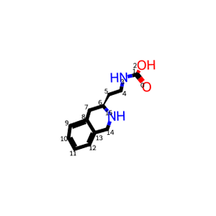 O=C(O)NCC[C@@H]1Cc2ccccc2CN1